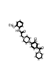 CCOc1ccccc1NC(=O)CN1CCN(c2ccc(C(=O)N3CCCCC3)cc2Cl)CC1